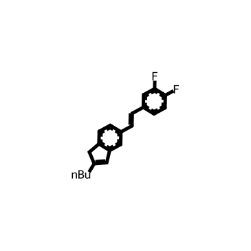 CCCCC1=Cc2cc(/C=C/c3ccc(F)c(F)c3)ccc2C1